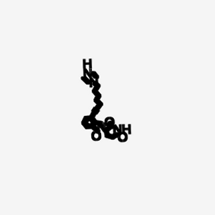 O=C1CCC(N2Cc3c(C#CCCCCCN4CCNCC4)cccc3C2=O)C(=O)N1